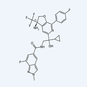 Cn1cc2cc(C(=O)NCC(O)(c3cc4c(c(-c5ccc(F)cc5)n3)OC[C@@]4(N)C(F)(F)F)C3CC3)cc(F)c2n1